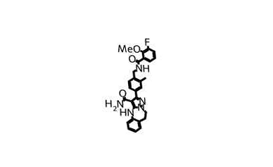 COc1c(F)cccc1C(=O)NCc1ccc(-c2nn3c(c2C(N)=O)Nc2ccccc2CC3)cc1C